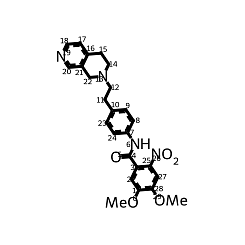 COc1cc(C(=O)Nc2ccc(CCN3CCc4ccncc4C3)cc2)c([N+](=O)[O-])cc1OC